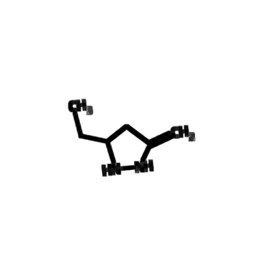 C=C1CC(CC)NN1